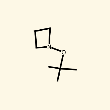 CC(C)(C)ON1C[CH]C1